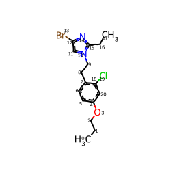 CCCOc1ccc(CCn2cc(Br)nc2CC)c(Cl)c1